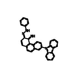 N=C1/C(=N\Nc2ccccc2)C=Cc2ccc3cc(-n4c5ccccc5c5ccccc54)ccc3c21